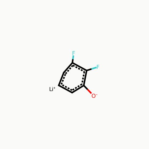 [Li+].[O-]c1cccc(F)c1F